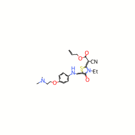 C=CCOC(=O)C(C#N)=c1sc(=CNc2ccc(OCCN(C)C)cc2)c(=O)n1CC